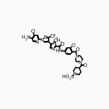 Cn1c(-c2cn(-c3cc(Cl)c(N)cn3)nc2C(F)(F)F)cnc1C(=O)Nc1ccc(C(=O)N2CCN(C(=O)C3CCN(C(=O)O)CC3)CC2)c(Cl)c1